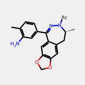 CC(=O)N1N=C(c2ccc(C)c(N)c2)c2cc3c(cc2C[C@H]1C)OCO3